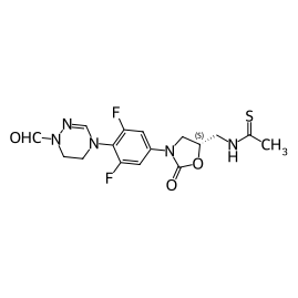 CC(=S)NC[C@H]1CN(c2cc(F)c(N3C=NN(C=O)CC3)c(F)c2)C(=O)O1